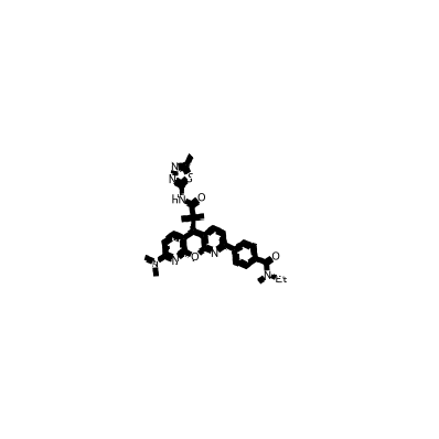 CCN(C)C(=O)c1ccc(-c2ccc3c(n2)Oc2nc(N(C)C)ccc2C3C(C)(C)C(=O)Nc2nnc(C)s2)cc1